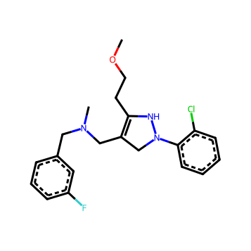 COCCC1=C(CN(C)Cc2cccc(F)c2)CN(c2ccccc2Cl)N1